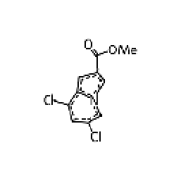 COC(=O)c1cc2c(Cl)cc(Cl)cn2c1